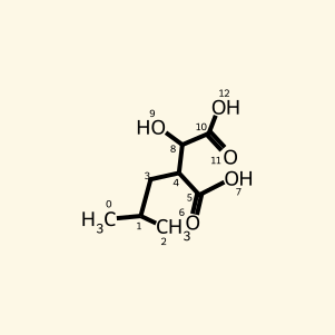 CC(C)CC(C(=O)O)C(O)C(=O)O